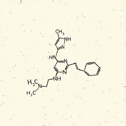 Cc1cc(Nc2cc(NCCN(C)C)nc(/C=C/c3ccccc3)n2)n[nH]1